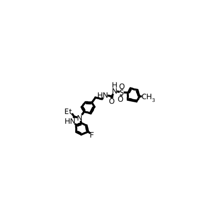 CCC1Nc2ccc(F)cc2N1c1ccc(CCNC(=O)NS(=O)(=O)c2ccc(C)cc2)cc1